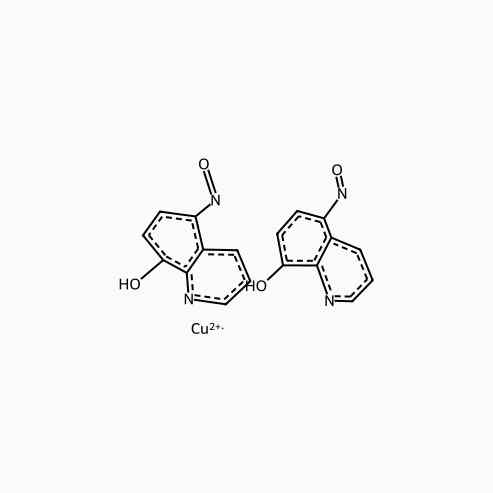 O=Nc1ccc(O)c2ncccc12.O=Nc1ccc(O)c2ncccc12.[Cu+2]